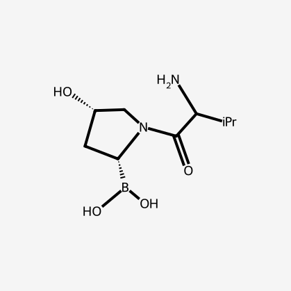 CC(C)C(N)C(=O)N1C[C@@H](O)C[C@H]1B(O)O